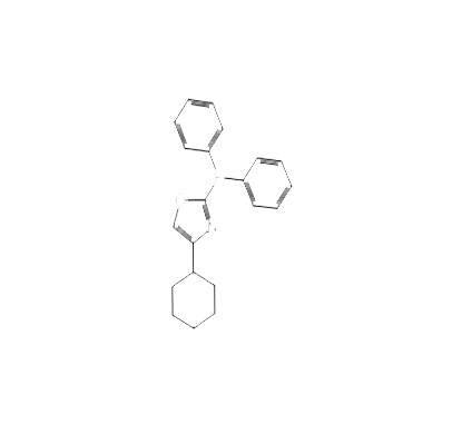 c1ccc(P(c2ccccc2)c2nc(C3CCCCC3)co2)cc1